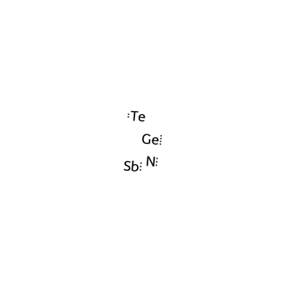 [Ge].[N].[Sb].[Te]